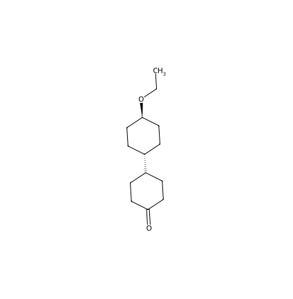 CCO[C@H]1CC[C@H](C2CCC(=O)CC2)CC1